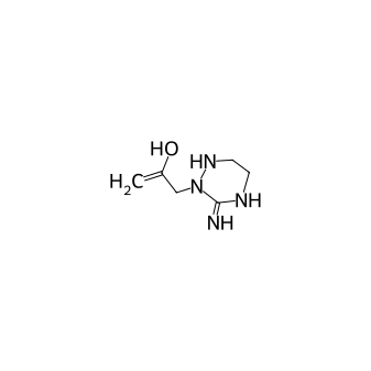 C=C(O)CN1NCCNC1=N